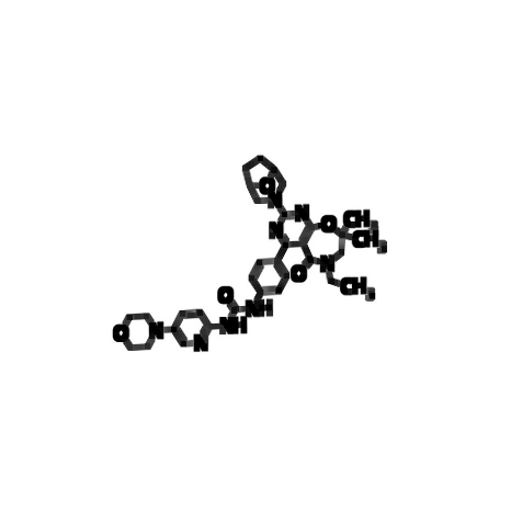 CCN1CC(C)(C)Oc2nc(N3CC4CCC(C3)O4)nc(-c3ccc(NC(=O)Nc4ccc(N5CCOCC5)cn4)cc3)c2C1=O